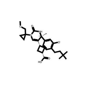 COCC1(N2C=C([C@H]3C[C@@H](C(=O)O)C3)[C@](C)(c3ccc(CCC(C)(C)C)c(Cl)c3)NC2=O)CC1